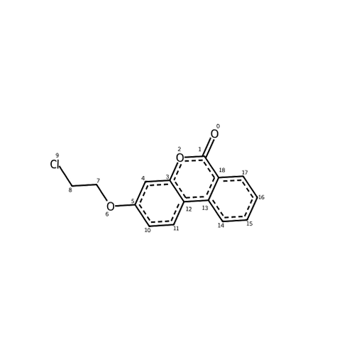 O=c1oc2cc(OCCCl)ccc2c2ccccc12